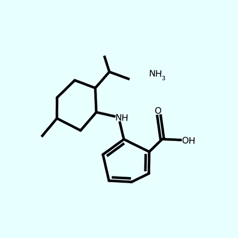 CC1CCC(C(C)C)C(Nc2ccccc2C(=O)O)C1.N